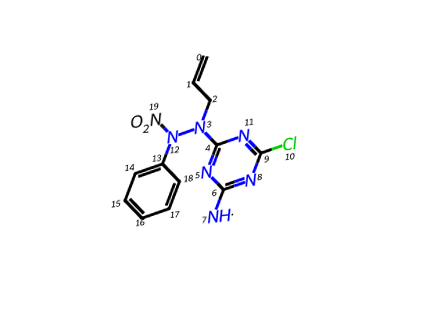 C=CCN(c1nc([NH])nc(Cl)n1)N(c1ccccc1)[N+](=O)[O-]